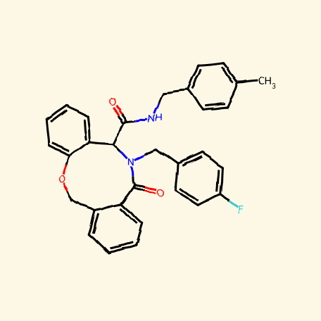 Cc1ccc(CNC(=O)C2c3ccccc3OCc3ccccc3C(=O)N2Cc2ccc(F)cc2)cc1